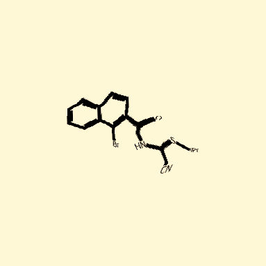 CC(C)SC(C#N)NC(=O)c1ccc2ccccc2c1Br